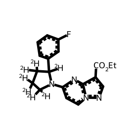 [2H]C1([2H])N(c2ccn3ncc(C(=O)OCC)c3n2)C([2H])(c2cccc(F)c2)C([2H])([2H])C1([2H])[2H]